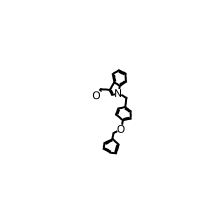 O=Cc1cn(Cc2ccc(OCc3ccccc3)cc2)c2ccccc12